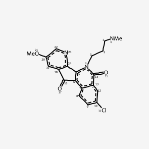 CNCCCn1c2c(c3ccc(Cl)cc3c1=O)C(=O)c1cc(OC)cnc1-2